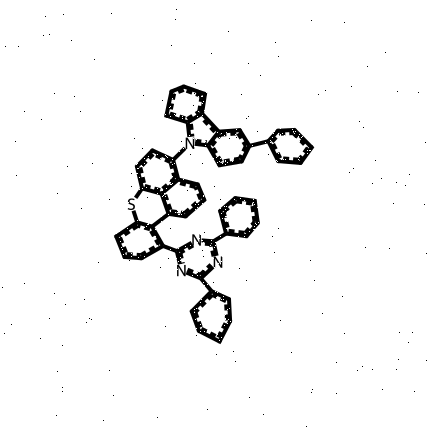 c1ccc(-c2ccc3c(c2)c2ccccc2n3-c2ccc3c4c(cccc24)-c2c(cccc2-c2nc(-c4ccccc4)nc(-c4ccccc4)n2)S3)cc1